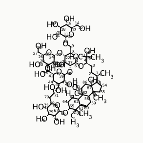 C[C@H](CC[C@@H](O[C@@H]1O[C@H](CO[C@H]2O[C@H](CO)[C@@H](O)[C@H](O)[C@H]2O)[C@@H](O[C@H]2O[C@H](CO)[C@@H](O)[C@H](O)[C@H]2O)[C@H](O)[C@H]1O[C@@H]1O[C@H](CO)C[C@H](O)[C@H]1O)C(C)(C)O)C1CC[C@@]2(C)C3CC=C4C(CC[C@H](O[C@@H]5O[C@H](CCO)[C@@H](O)[C@H](O)[C@H]5O)C4(C)C)[C@]3(C)[C@H](O)C[C@]12C